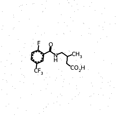 CC(CNC(=O)c1cc(C(F)(F)F)ccc1F)CC(=O)O